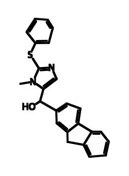 Cn1c(C(O)c2ccc3c(c2)Cc2ccccc2-3)cnc1Sc1ccccc1